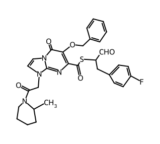 CC1CCCCN1C(=O)Cn1ccn2c(=O)c(OCc3ccccc3)c(C(=O)SC(C=O)Cc3ccc(F)cc3)nc12